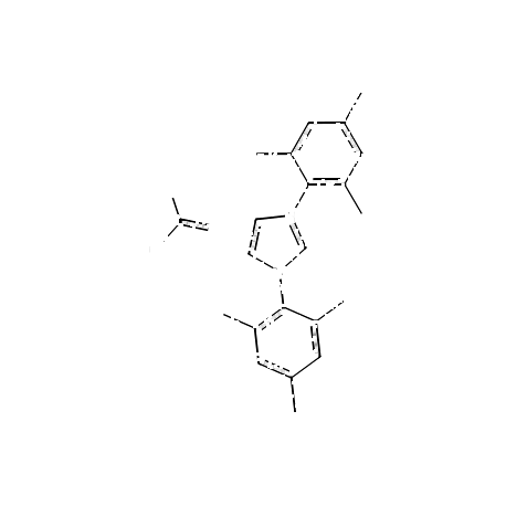 Cc1cc(C)c(-n2cc[n+](-c3c(C)cc(C)cc3C)c2)c(C)c1.O=C([O-])O